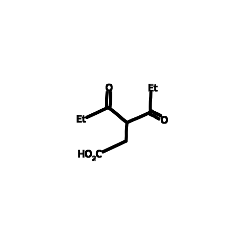 CCC(=O)C(CC(=O)O)C(=O)CC